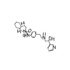 O=S(=O)(Nc1ccc(CCNC[C@H](O)c2cccnc2)cc1)N1CC[C@@H]2CCCC[C@@H]2C1